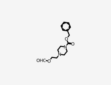 O=COCCN1CCN(C(=O)OCc2ccccc2)CC1